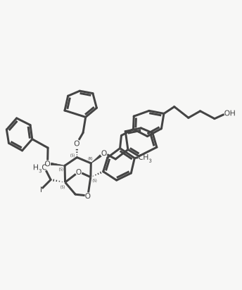 Cc1ccc([C@]23OC[C@](C(C)I)(O2)[C@@H](OCc2ccccc2)[C@H](OCc2ccccc2)[C@H]3OCc2ccccc2)cc1Cc1ccc(CCCCO)cc1